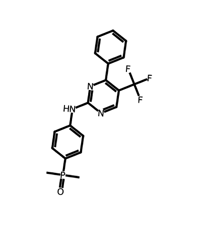 CP(C)(=O)c1ccc(Nc2ncc(C(F)(F)F)c(-c3ccccc3)n2)cc1